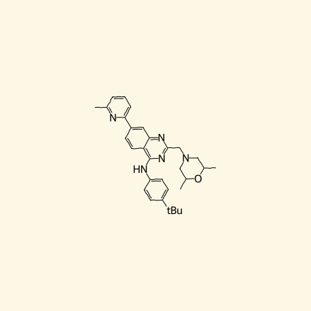 Cc1cccc(-c2ccc3c(Nc4ccc(C(C)(C)C)cc4)nc(CN4CC(C)OC(C)C4)nc3c2)n1